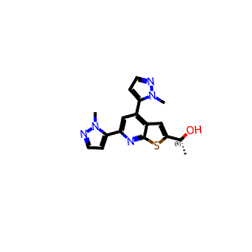 C[C@@H](O)c1cc2c(-c3ccnn3C)cc(-c3ccnn3C)nc2s1